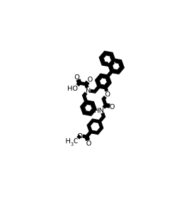 COC(=O)C1CCC(CNC(=O)COc2cc(-c3cccc4ccccc34)ccc2CN(Cc2ccccc2)C(=O)C(=O)O)CC1